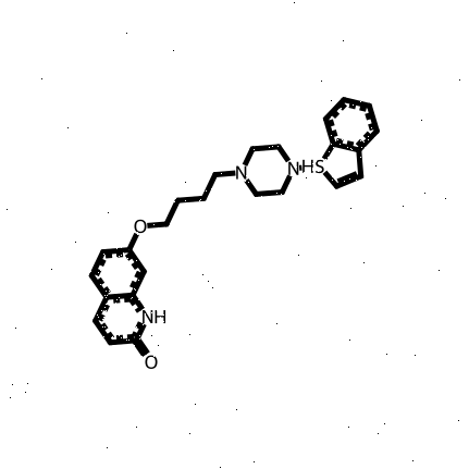 O=c1ccc2ccc(OCCCCN3CCN([SH]4C=Cc5ccccc54)CC3)cc2[nH]1